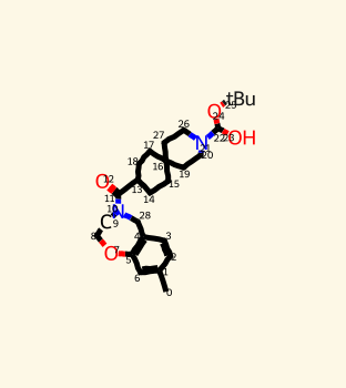 Cc1ccc2c(c1)OCCN(C(=O)C1CCC3(CC1)CCN(C(O)OC(C)(C)C)CC3)C2